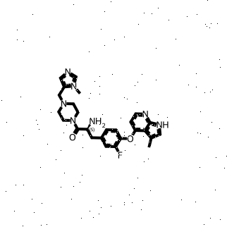 Cc1c[nH]c2nccc(Oc3ccc(C[C@H](N)C(=O)N4CCN(Cc5cncn5C)CC4)cc3F)c12